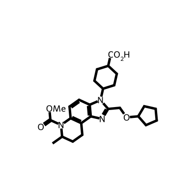 COC(=O)N1c2ccc3c(nc(COC4CCCC4)n3C3CCC(C(=O)O)CC3)c2CCC1C